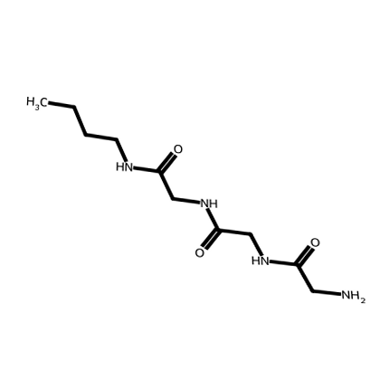 CCCCNC(=O)CNC(=O)CNC(=O)CN